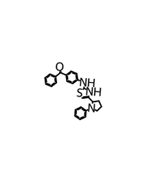 O=C(c1ccccc1)c1ccc(NC2NC(C3CCCN3c3ccccc3)=CS2)cc1